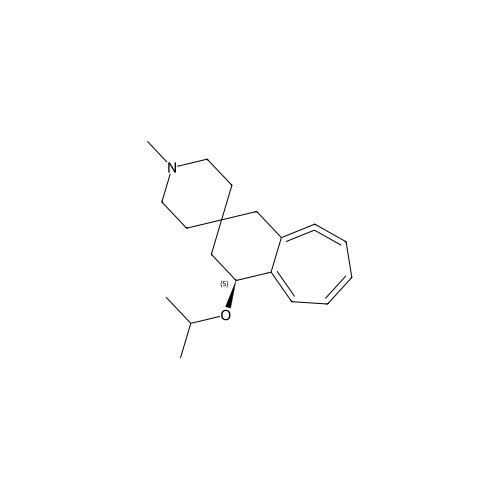 CC(C)O[C@H]1CC2(CCN(C)CC2)CC2=C=CC=CC=C21